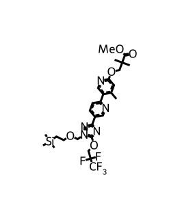 COC(=O)C(C)(C)COc1cc(C)c(-c2ccc(-c3nc(OCC(F)(F)C(F)(F)F)n(COCC[Si](C)(C)C)n3)cn2)cn1